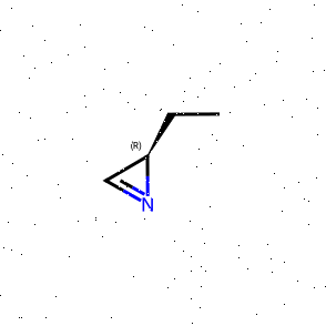 CC[C@@H]1C=N1